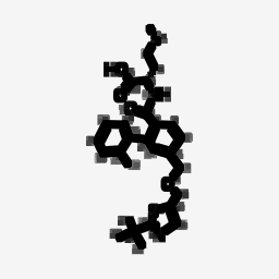 CSCC[C@H](NC(=O)c1ccc(COCc2cnc(C(C)(C)C)s2)cc1-c1ccccc1C)C(=O)O